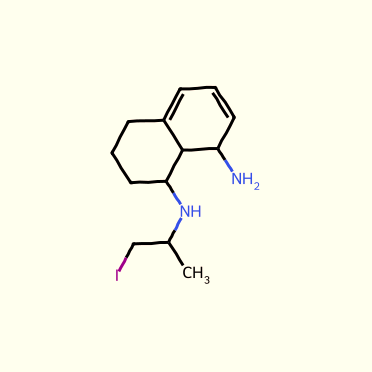 CC(CI)NC1CCCC2=CC=CC(N)C21